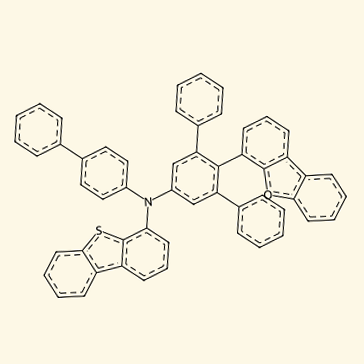 c1ccc(-c2ccc(N(c3cc(-c4ccccc4)c(-c4cccc5c4oc4ccccc45)c(-c4ccccc4)c3)c3cccc4c3sc3ccccc34)cc2)cc1